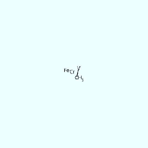 [CH3][V].[Cr].[Fe]